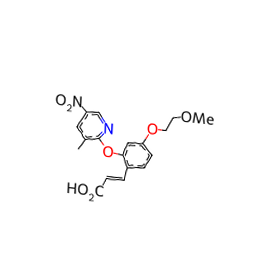 COCCOc1ccc(/C=C/C(=O)O)c(Oc2ncc([N+](=O)[O-])cc2C)c1